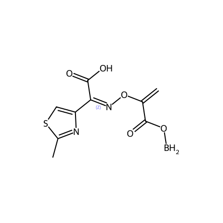 BOC(=O)C(=C)O/N=C(\C(=O)O)c1csc(C)n1